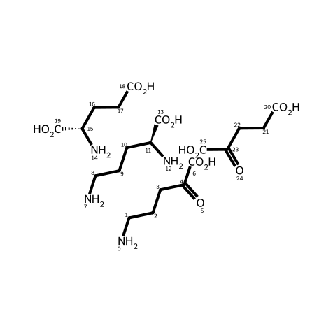 NCCCC(=O)C(=O)O.NCCC[C@H](N)C(=O)O.N[C@@H](CCC(=O)O)C(=O)O.O=C(O)CCC(=O)C(=O)O